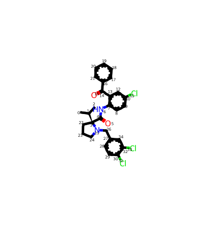 CC(C)[C@]1(C(=O)Nc2ccc(Cl)cc2C(=O)c2ccccc2)CCCN1Cc1ccc(Cl)c(Cl)c1